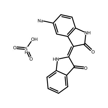 O=C1Nc2cc[c]([Na])cc2C1=C1Nc2ccccc2C1=O.O=[SH](=O)O